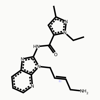 CCn1nc(C)cc1C(=O)Nc1nc2cccnc2n1C/C=C/CN